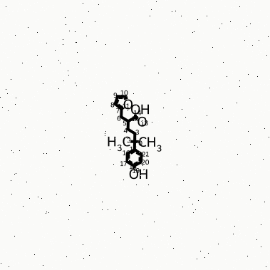 CC(C)(CCC(Cc1ccco1)C(=O)O)c1ccc(O)cc1